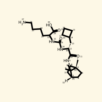 CC1(C)[C@@H]2CC[C@@]1(C)[C@@H](NC(=O)[C@@H](CC1CCC1)NC(=O)NC(CCCCN)C(=O)O)C2